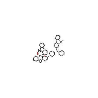 CC1(C)c2ccccc2-c2ccc(N(c3ccccc3)c3ccc(-c4ccc5c(c4)C4(c6ccccc6O5)c5ccccc5-n5c6ccccc6c6cccc4c65)cc3)cc21